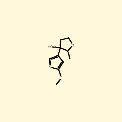 CSc1cc(C2(O)CCOC2C)cs1